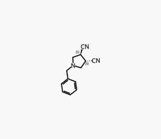 N#C[C@@H]1CN(Cc2ccccc2)C[C@H]1C#N